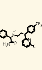 NC(=O)[C@H](NCC[C@@H](c1ccc(C(F)(F)F)cc1)c1cccc(Cl)n1)c1ccccc1